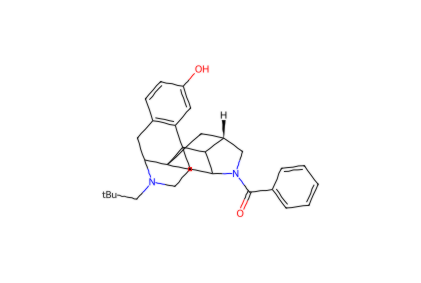 CC(C)(C)CN1CCC23c4cc(O)ccc4CC1C21CCC2C3[C@@H](CN2C(=O)c2ccccc2)C1